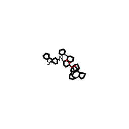 c1ccc(-c2ccccc2N(c2ccc(-c3ccc4c(c3)-c3c5cccc3-c3cccc-4c3-c3ccccc3-5)cc2)c2ccc3sc4ccccc4c3c2)cc1